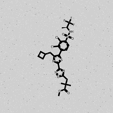 COC(=O)C(C)(C)Cc1nc(-c2nc(CC3CCC3)c(-c3ccc(S(=O)(=O)N[C@@H](C)C(F)(F)F)c(Cl)c3Cl)s2)no1